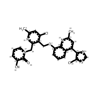 Cc1cc(Cl)c(COc2cccc3c(-c4ncsc4Cl)cc(C)nc23)c(Cn2cccc(C#N)c2=O)n1